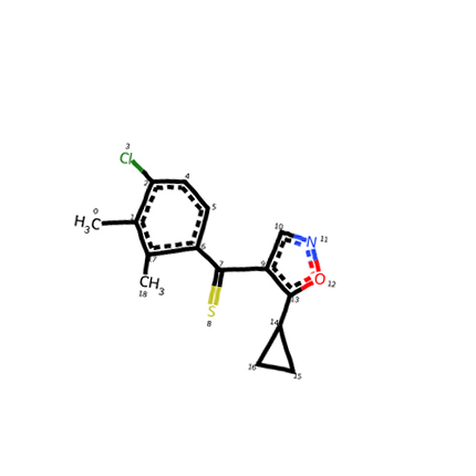 Cc1c(Cl)ccc(C(=S)c2cnoc2C2CC2)c1C